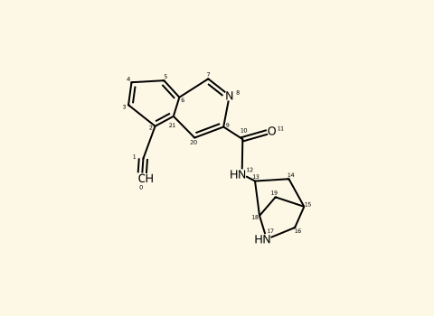 C#Cc1cccc2cnc(C(=O)NC3CC4CNC3C4)cc12